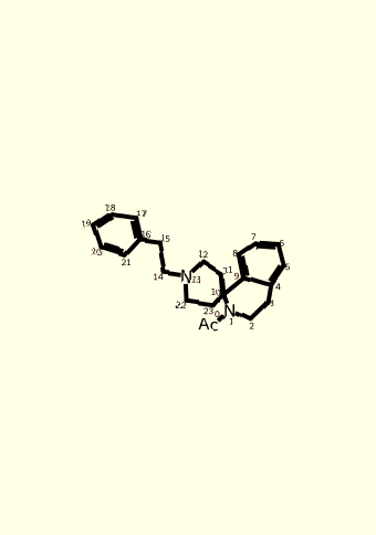 CC(=O)N1CCc2ccccc2C12CCN(CCc1ccccc1)CC2